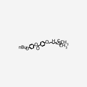 CCCCOc1ccc(OC(=O)c2ccc(OCCCCC[Si](C)(C)C)cc2)cc1